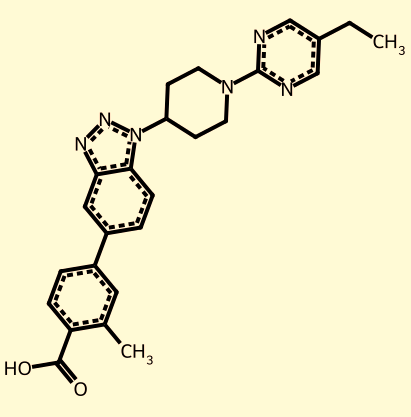 CCc1cnc(N2CCC(n3nnc4cc(-c5ccc(C(=O)O)c(C)c5)ccc43)CC2)nc1